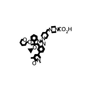 Cc1cc(-c2ccc3nc(N4CCC(CN5CCN(C(=O)O)CC5)CC4)nc(C(COC4CCCCO4)(OC4CC4)c4ccccc4)c3c2)cn(C)c1=O